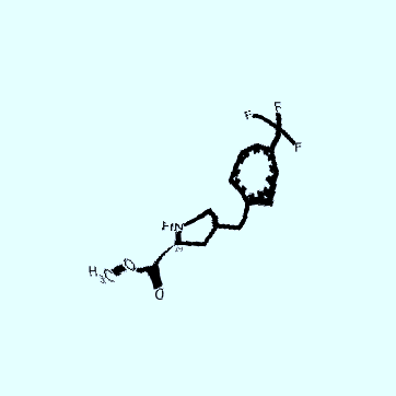 COC(=O)[C@@H]1CC(Cc2ccc(C(F)(F)F)cc2)CN1